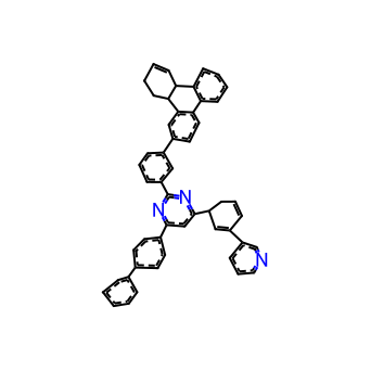 C1=CC2c3ccccc3-c3ccc(-c4cccc(-c5nc(-c6ccc(-c7ccccc7)cc6)cc(C6C=C(c7cccnc7)C=CC6)n5)c4)cc3C2CC1